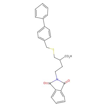 O=C(O)C(CCN1C(=O)c2ccccc2C1=O)CSCc1ccc(-c2ccccc2)cc1